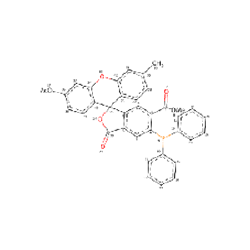 COC(=O)c1cc2c(cc1P(c1ccccc1)c1ccccc1)C(=O)OC21c2ccc(C)cc2Oc2cc(OC(C)=O)ccc21